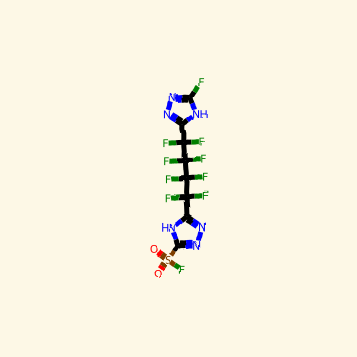 O=S(=O)(F)c1nnc(C(F)(F)C(F)(F)C(F)(F)C(F)(F)c2nnc(F)[nH]2)[nH]1